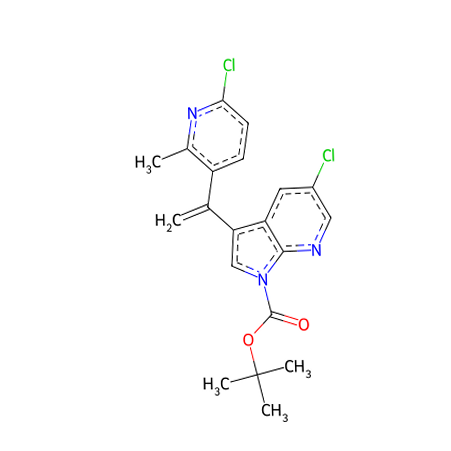 C=C(c1ccc(Cl)nc1C)c1cn(C(=O)OC(C)(C)C)c2ncc(Cl)cc12